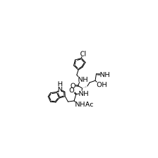 CC(=O)N[C@@H](Cc1c[nH]c2ccccc12)C(=O)N[C@@H](CCC(O)C=N)C(=O)NCc1ccc(Cl)cc1